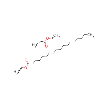 C=COC(=O)CC.C=COC(=O)CCCCCCCCCCCCCCCCC